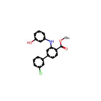 CC(C)(C)OC(=O)c1ccc(-c2cccc(Cl)c2)cc1Nc1cccc(O)c1